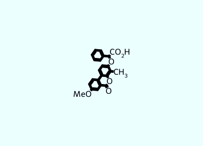 COc1ccc2c(c1)c(=O)oc1c(C)c(OC(C(=O)O)c3ccccc3)ccc12